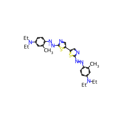 CCN(CC)c1ccc(/N=N/c2ncc(-c3cnc(/N=N/c4ccc(N(CC)CC)cc4C)s3)s2)c(C)c1